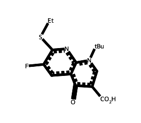 CCSc1nc2c(cc1F)c(=O)c(C(=O)O)cn2C(C)(C)C